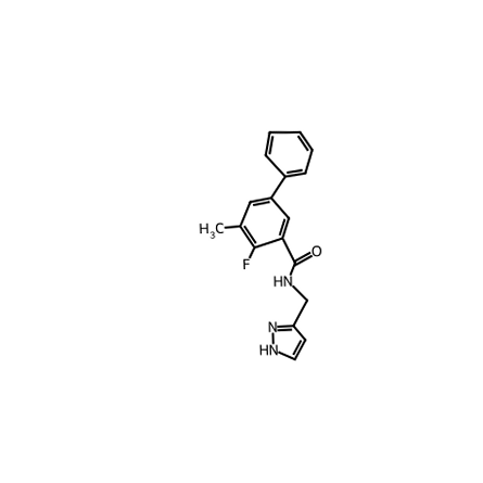 Cc1cc(-c2ccccc2)cc(C(=O)NCc2cc[nH]n2)c1F